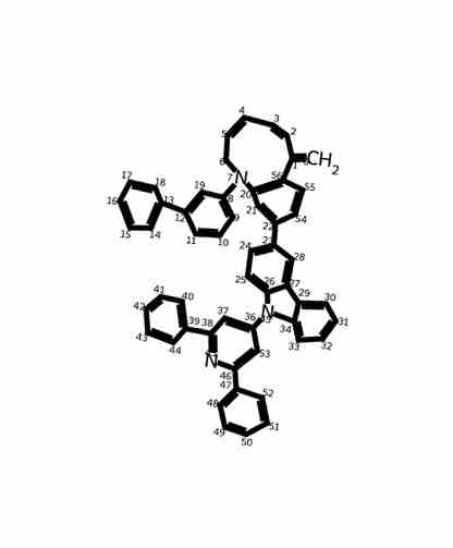 C=C1/C=C\C=C/CN(c2cccc(-c3ccccc3)c2)c2cc(-c3ccc4c(c3)c3ccccc3n4-c3cc(-c4ccccc4)nc(-c4ccccc4)c3)ccc21